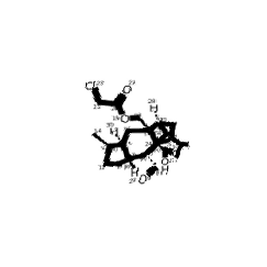 CC(C)C1=C[C@H]2C[C@@]3(C=O)[C@@H]4CC[C@@H](C)[C@H]4C[C@@]2(COC(=O)CCl)[C@]13C(=O)O